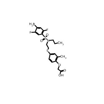 Bc1cc(F)c(S(=O)(=O)N(CCC)CCSc2ccc(OCC(=O)O)c(C)c2)cc1F